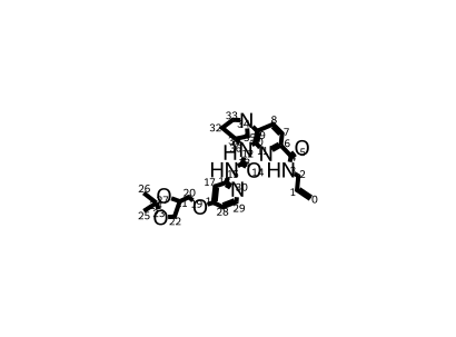 C=CCNC(=O)c1ccc2c(n1)N(C(=O)Nc1cc(OCC3COC(C)(C)O3)ccn1)[C@H]1CCN2C1